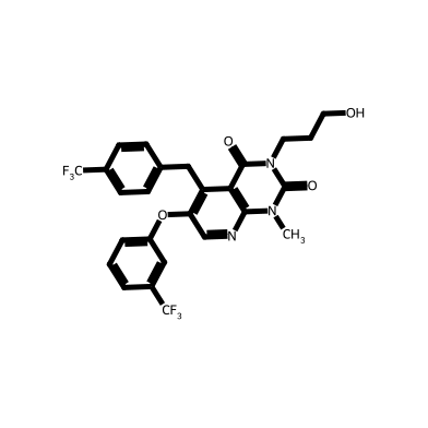 Cn1c(=O)n(CCCO)c(=O)c2c(Cc3ccc(C(F)(F)F)cc3)c(Oc3cccc(C(F)(F)F)c3)cnc21